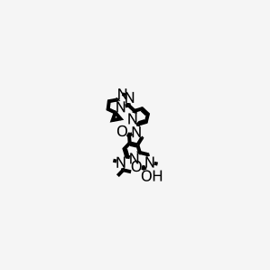 CC(C)N(C)c1cc2c(c(CN(C)C(=O)O)n1)CN(c1cccc(-c3nnc4n3C3(CC4)CC3)n1)C2=O